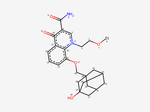 CCOCCn1cc(C(N)=O)c(=O)c2cccc(OCC34CC5CC(CC(O)(C5)C3)C4)c21